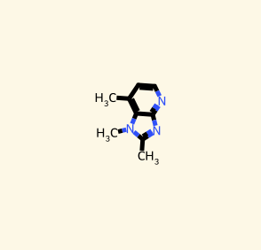 Cc1ccnc2nc(C)n(C)c12